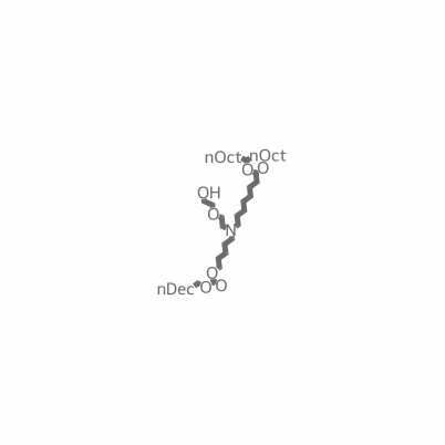 CCCCCCCCCCCOC(=O)OCCCCCN(CCCCCCCC(=O)OC(CCCCCCCC)CCCCCCCC)CCOCCO